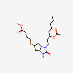 CCCCCC(CCN1C(=O)NC2CC(SCCCC(=O)OC)CC21)OC(C)=O